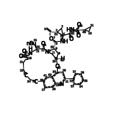 C=C[C@@H]1C[C@]1(NC(=O)[C@@H]1C[C@@H]2CN1C(=O)[C@H](CCCC)NS(=O)(=O)CCCCCc1ccc3nc(-c4ccccc4)cc(c3c1)O2)C(=O)NS(=O)(=O)C1CC1